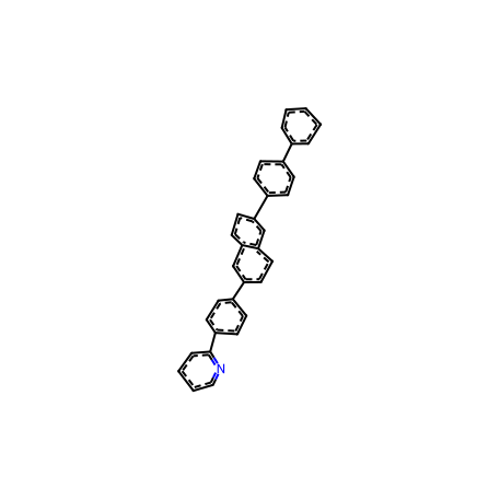 c1ccc(-c2ccc(-c3ccc4cc(-c5ccc(-c6ccccn6)cc5)ccc4c3)cc2)cc1